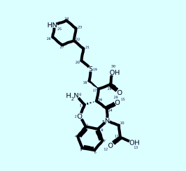 NC1Oc2ccccc2N(CC(=O)O)C(=O)[C@H]1[C@@H](CSCCC1CCNCC1)C(=O)O